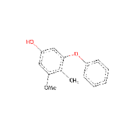 COc1cc(O)cc(Oc2ccccc2)c1C